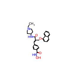 CCN1CCC(NC(=O)/C(=C/c2ccc(C(=O)NO)cc2)COc2cccc3ccccc23)CC1